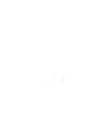 CCCCCCCCCCCCCCCCCCCCCC.O=C(O)CC(O)(CC(=O)O)C(=O)O